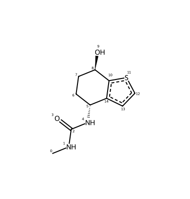 CNC(=O)N[C@@H]1CC[C@@H](O)c2sccc21